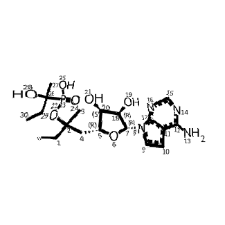 CCC(C)(C[C@H]1O[C@@H](n2ccc3c(N)ncnc32)[C@H](O)[C@@H]1O)OP(=O)(O)C(C)(O)CC